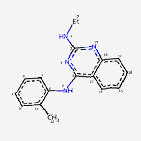 CCNc1nc(Nc2ccccc2C)c2ccccc2n1